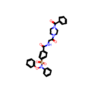 O=C(NCC(=O)N1CCN(C(=O)c2ccccc2)CC1)c1ccc(S(=O)(=O)N(Oc2ccccc2)c2ccccc2)cc1